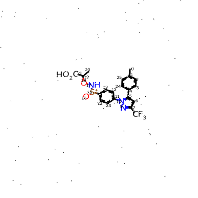 Cc1ccc(-c2cc(C(F)(F)F)nn2-c2ccc([S+]([O-])NOC(C)C(=O)O)cc2)cc1